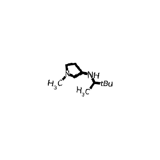 CC(NC1CCN(C)C1)C(C)(C)C